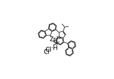 CC(C)C1=Cc2c(-c3cccc4ccccc34)cccc2C1c1cccc2c1[CH]([Zr+2][SiH](C)C)c1ccccc1-2.[Cl-].[Cl-]